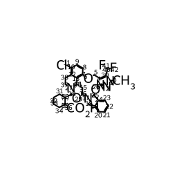 Cn1nnc(COc2ccc(Cl)c3c2[C@@H](CCN2Cc4ccccc4C2=O)N(C(=O)[C@@H]2CCCC[C@@H]2C(=O)O)CC3)c1C(F)F